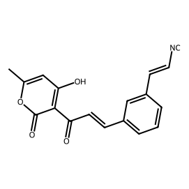 [C-]#[N+]/C=C/c1cccc(/C=C/C(=O)c2c(O)cc(C)oc2=O)c1